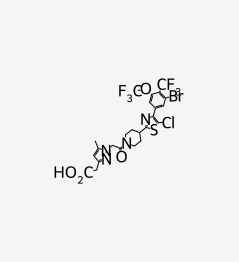 Cc1cc(CC(=O)O)nn1CC(=O)N1CCC(c2nc(-c3cc(Br)c(C(F)(F)F)c(OC(F)(F)F)c3)c(Cl)s2)CC1